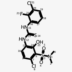 CN(C)S(=O)(=O)c1c(Cl)ccc(NC(=S)Nc2cccc(Cl)c2F)c1O